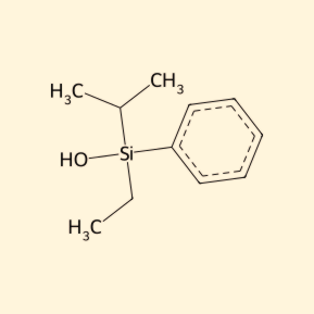 CC[Si](O)(c1ccccc1)C(C)C